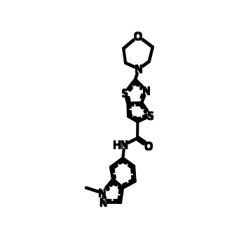 Cn1ncc2ccc(NC(=O)c3cc4sc(N5CCOCC5)nc4s3)cc21